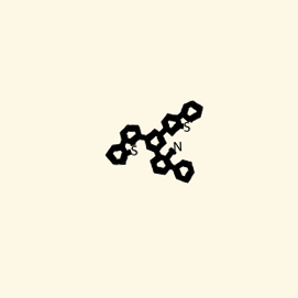 N#Cc1c(-c2ccccc2)cccc1-c1cc(-c2ccc3c(c2)sc2ccccc23)cc(-c2cccc3c2sc2ccccc23)c1